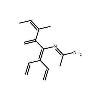 C=CC(C=C)=C(/N=C(\C)N)C(=C)/C(C)=C\C